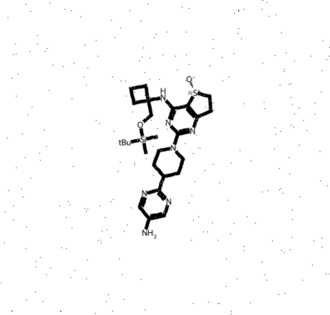 CC(C)(C)[Si](C)(C)OCC1(Nc2nc(N3CCC(c4ncc(N)cn4)CC3)nc3c2[S@+]([O-])CC3)CCC1